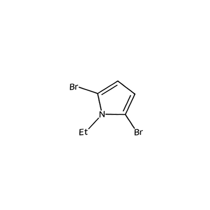 CCn1c(Br)ccc1Br